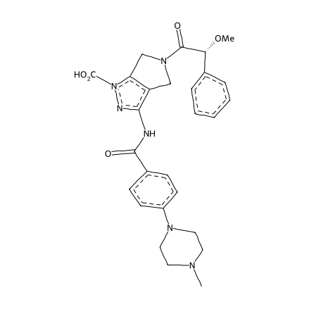 CO[C@@H](C(=O)N1Cc2c(NC(=O)c3ccc(N4CCN(C)CC4)cc3)nn(C(=O)O)c2C1)c1ccccc1